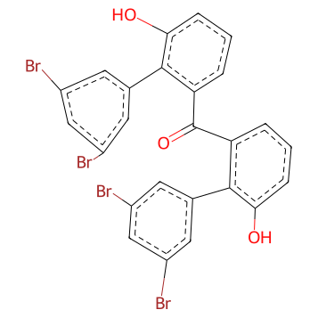 O=C(c1cccc(O)c1-c1cc(Br)cc(Br)c1)c1cccc(O)c1-c1cc(Br)cc(Br)c1